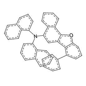 c1ccc(-c2cccc3oc4c5ccccc5c(N(c5cccc6ccccc56)c5cccc6ccccc56)cc4c23)cc1